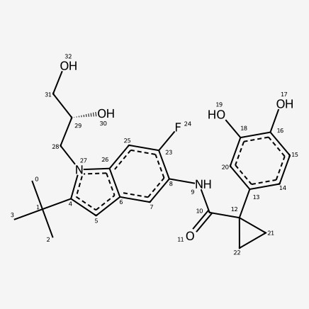 CC(C)(C)c1cc2cc(NC(=O)C3(c4ccc(O)c(O)c4)CC3)c(F)cc2n1C[C@@H](O)CO